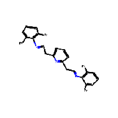 CC(C)c1cccc(C(C)C)c1N=CCc1cccc(CC=Nc2c(C(C)C)cccc2C(C)C)n1